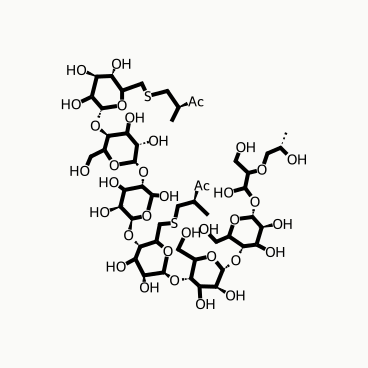 CC(=O)[C@@H](C)CSCC1O[C@@H](O[C@@H]2C(CO)O[C@H](O[C@@H]3C(CO)O[C@H](OC(O)C(CO)OC[C@H](C)O)[C@@H](O)C3O)[C@@H](O)C2O)[C@@H](O)C(O)[C@@H]1O[C@@H]1OC(O)[C@@H](O[C@@H]2OC(CO)[C@@H](O[C@H]3OC(CSC[C@H](C)C(C)=O)[C@@H](O)[C@H](O)C3O)C(O)[C@@H]2O)C(O)[C@@H]1O